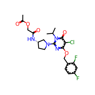 CC(=O)OCC(=O)N[C@H]1CCN(c2nc(OCc3ccc(F)cc3F)c(Cl)c(=O)n2C(C)C)C1